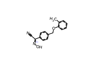 Cc1ccccc1OCc1ccc(/C(C#N)=N\O)cc1